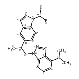 CC(C)c1cccc2c1cnn2CC(C)c1ccc2c(cnn2C(F)F)c1